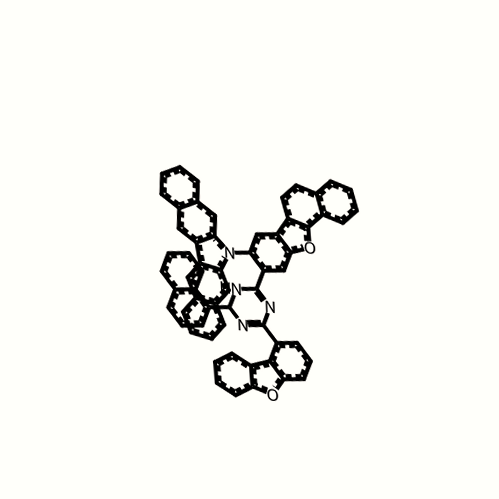 c1ccc2cc3c(cc2c1)c1cc2ccccc2cc1n3-c1cc2c(cc1C1=NC(c3cccc4oc5ccccc5c34)=NC(c3cccc4ccccc34)N1)oc1c3ccccc3ccc21